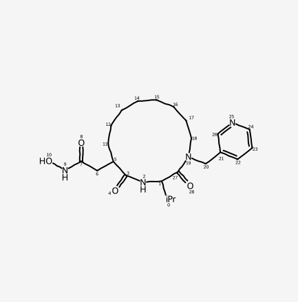 CC(C)C1NC(=O)C(CC(=O)NO)CCCCCCCCN(Cc2cccnc2)C1=O